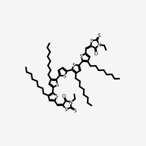 CCCCCCCCc1cc(/C=C2/SC(=S)N(CC)C2=O)sc1-c1cc(CCCCCCCC)c(-c2ccc(-c3sc(-c4sc(/C=C5/SC(=S)N(CC)C5=O)cc4CCCCCCCC)cc3CCCCCCCC)s2)s1